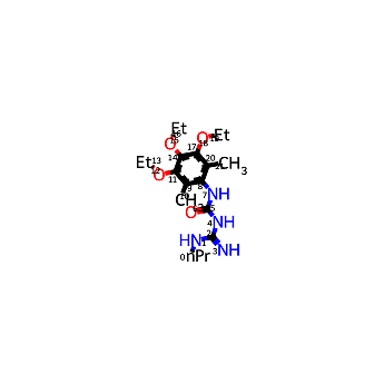 CCCNC(=N)NC(=O)Nc1c(C)c(OCC)c(OCC)c(OCC)c1C